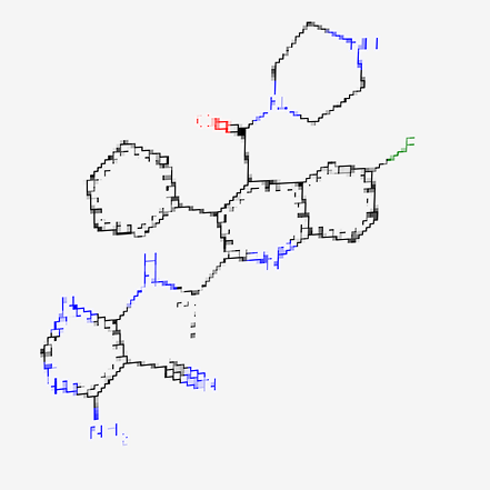 C[C@H](Nc1ncnc(N)c1C#N)c1nc2ccc(F)cc2c(C(=O)N2CCNCC2)c1-c1ccccc1